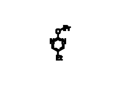 CCc1cnc(OC(C)C)nc1